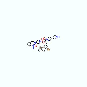 COc1c(Br)cc(C[C@@H](OC(=O)N2CCC(N3CCc4ccccc4NC3=O)CC2)C(=O)N2CCC(C3CCNCC3)CC2)cc1Br